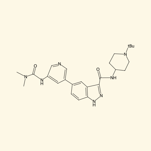 CN(C)C(=O)Nc1cncc(-c2ccc3[nH]nc(C(=O)NC4CCN(C(C)(C)C)CC4)c3c2)c1